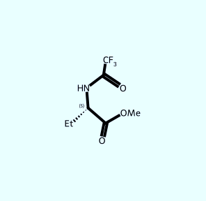 CC[C@H](NC(=O)C(F)(F)F)C(=O)OC